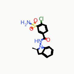 C[C@@H]1Cc2ccccc2N1NC(=O)c1ccc(Cl)c(S(N)(=O)=O)c1